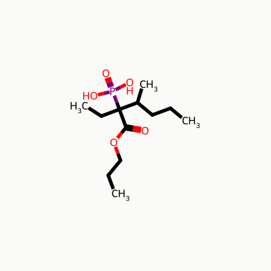 CCCOC(=O)C(CC)(C(C)CCC)P(=O)(O)O